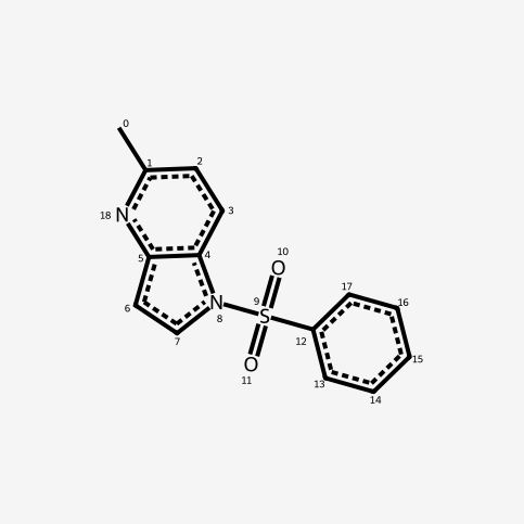 Cc1ccc2c(ccn2S(=O)(=O)c2ccccc2)n1